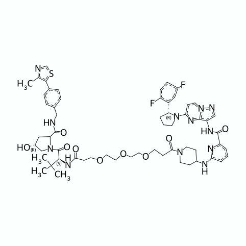 Cc1ncsc1-c1ccc(CNC(=O)C2C[C@@H](O)CN2C(=O)[C@@H](NC(=O)CCOCCOCCOCCC(=O)N2CCC(Nc3cccc(C(=O)Nc4cnn5ccc(N6CCC[C@@H]6c6cc(F)ccc6F)nc45)n3)CC2)C(C)(C)C)cc1